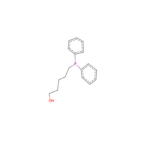 OCCCCCP(c1ccccc1)c1ccccc1